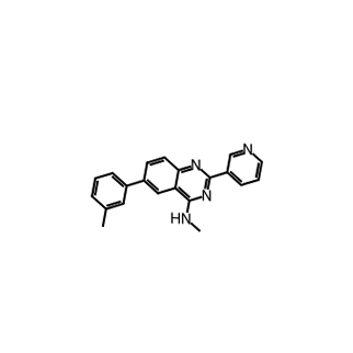 CNc1nc(-c2cccnc2)nc2ccc(-c3cccc(C)c3)cc12